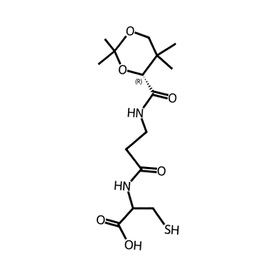 CC1(C)OCC(C)(C)[C@H](C(=O)NCCC(=O)NC(CS)C(=O)O)O1